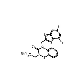 CCOC(=O)CC1Sc2ccccc2N(Cc2nc3cc(F)cc(F)c3s2)C1=O